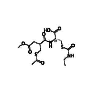 CCNC(=O)SC[C@H](NC(=O)C(CSC(C)=O)CC(=O)OC)C(=O)O